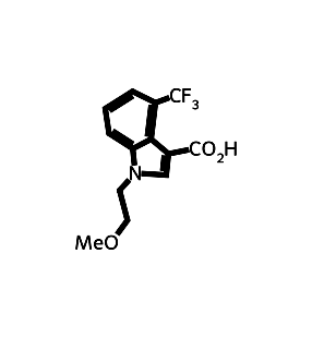 COCCn1cc(C(=O)O)c2c(C(F)(F)F)cccc21